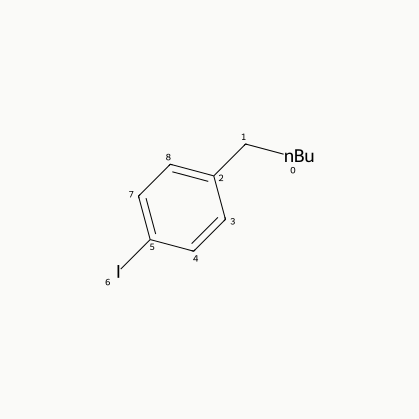 [CH2]CCCCc1ccc(I)cc1